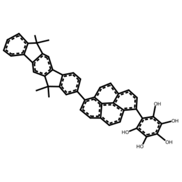 CC1(C)c2ccccc2-c2cc3c(cc21)-c1ccc(-c2ccc4ccc5c(-c6c(O)c(O)c(O)c(O)c6O)ccc6ccc2c4c65)cc1C3(C)C